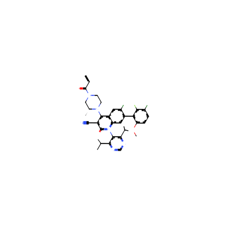 C=CC(=O)N1CCN(c2c(C#N)c(=O)n(-c3c(C(C)C)ncnc3C(C)C)c3cc(-c4c(OC)ccc(Cl)c4F)c(Cl)cc23)[C@@H](C)C1